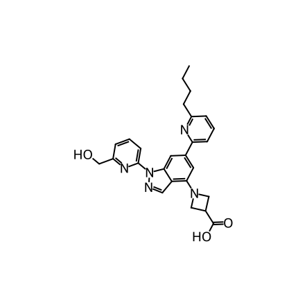 CCCCc1cccc(-c2cc(N3CC(C(=O)O)C3)c3cnn(-c4cccc(CO)n4)c3c2)n1